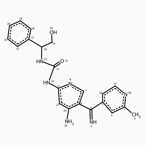 Cc1cc(C(=N)c2cnc(NC(=O)NC(CO)c3ccccc3)cc2N)ccn1